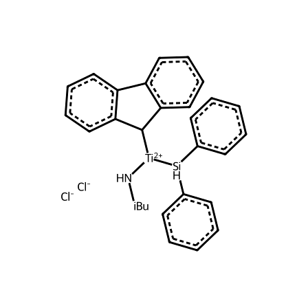 CCC(C)[NH][Ti+2]([CH]1c2ccccc2-c2ccccc21)[SiH](c1ccccc1)c1ccccc1.[Cl-].[Cl-]